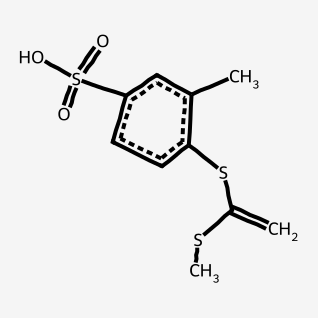 C=C(SC)Sc1ccc(S(=O)(=O)O)cc1C